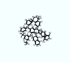 CC(C)(C)c1cc(N2c3cc4ccccc4cc3B3c4c2cc(N(c2ccccc2)c2ccccc2)cc4N(c2ccc4c(c2)C(C)(C)CCC4(C)C)c2sc4cc5c(cc4c23)C2(C)CCC5(C)CC2)cc(C(C)(C)C)c1